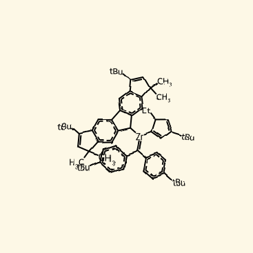 CCC1C=C(C(C)(C)C)C=[C]1[Zr](=[C](c1ccc(C(C)(C)C)cc1)c1ccc(C(C)(C)C)cc1)[CH]1c2cc3c(cc2-c2cc4c(cc21)C(C)(C)C=C4C(C)(C)C)C(C(C)(C)C)=CC3(C)C